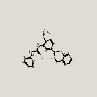 COc1ccc(C2OCc3ccccc3S2)cc1OC(=O)Nc1ccccc1